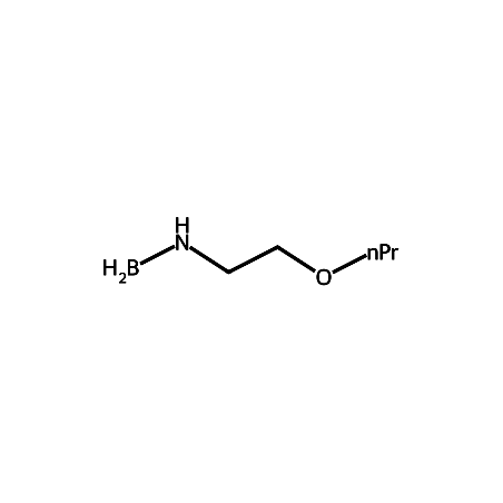 BNCCOCCC